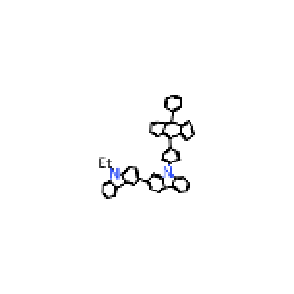 CCn1c2ccccc2c2cc(-c3ccc4c5ccccc5n(-c5ccc(-c6c7ccccc7c(-c7ccccc7)c7ccccc67)cc5)c4c3)ccc21